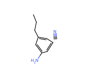 C#N.CCCc1cccc(N)c1